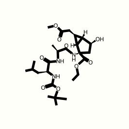 CCOC(=O)[C@]1(NC(=O)[C@H](C)NC(=O)[C@H](CC(C)C)NC(=O)OC(C)(C)C)C[C@H](O)[C@H]2[C@H](CC(=O)OC)[C@H]21